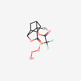 CC1(OC(=O)C(F)(F)SOOO)C2CC3C(=O)OC1C3C2